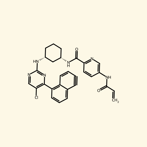 C=CC(=O)Nc1ccc(C(=O)N[C@H]2CCC[C@@H](Nc3ncc(Cl)c(-c4cccc5c#cccc45)n3)C2)nc1